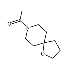 CC(=O)N1CCC2(CCCO2)CC1